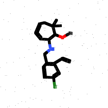 C=Cc1cc(Cl)ccc1CNC1C=C=CCC(C)(C)C1OCC